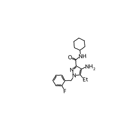 CCc1c(N)c(C(=O)NC2CCCCC2)nn1Cc1ccccc1F